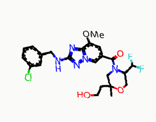 COc1cc(C(=O)N2CC(C)(CCO)OCC2C(F)F)cn2nc(NCc3cccc(Cl)c3)nc12